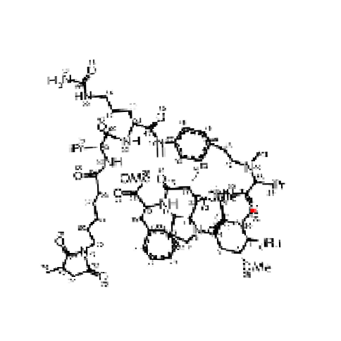 CC[C@H](C)[C@@H]([C@@H](CC(=O)N1CCC[C@H]1[C@H](OC)[C@@H](C)C(=O)N[C@@H](Cc1ccccc1)C(=O)OC)OC)N(C)C(=O)[C@@H](NC(=O)[C@H](C(C)C)N(C)CCc1ccc(NC(=O)[C@H](CCCNC(N)=O)NC(=O)[C@@H](NC(=O)CCCCCN2C(=O)CC(C)C2=O)C(C)C)cc1)C(C)C